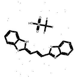 C(=Cc1nc2ccccc2s1)C=C1Nc2ccccc2S1.O=S(=O)(O)C(F)(F)F